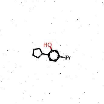 CC(C)c1ccc(C2CCCC2)c(O)c1